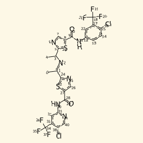 C/C(=N\C(C)c1ncc(C(=O)Nc2ccc(Cl)c(C(F)(F)F)c2)s1)c1ncc(C(=O)Nc2cc(C(F)(F)F)c(Cl)cn2)s1